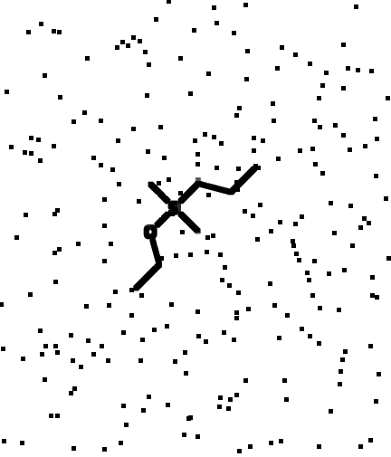 CC[CH][Si](C)(C)OCC